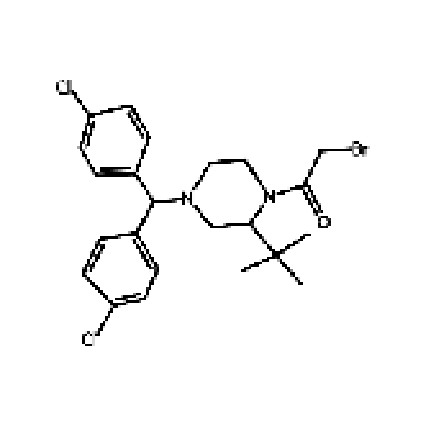 CC(C)(C)C1CN(C(c2ccc(Cl)cc2)c2ccc(Cl)cc2)CCN1C(=O)CBr